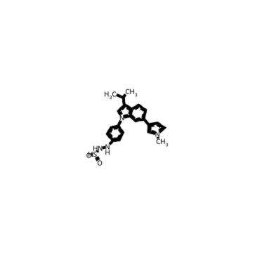 CC(C)c1cn(-c2ccc(NN[SH](=O)=O)cc2)c2cc(-c3ccn(C)c3)ccc12